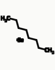 CCCCCCCC.[Se]